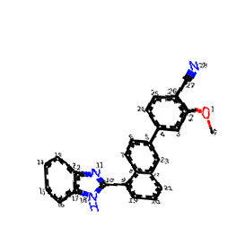 COc1cc(-c2ccc3c(-c4nc5ccccc5[nH]4)cccc3c2)ccc1C#N